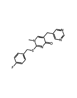 Cn1cc(Cc2cncnc2)c(=O)nc1SCc1ccc(F)cc1